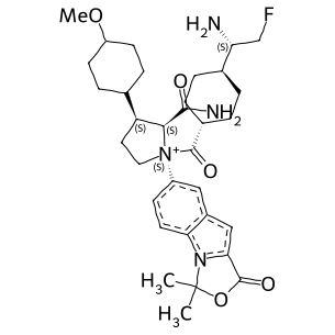 COC1CCC([C@@H]2CC[N@+](c3ccc4c(c3)cc3n4C(C)(C)OC3=O)(C(=O)[C@H]3CC[C@H]([C@H](N)CF)CC3)[C@@H]2C(N)=O)CC1